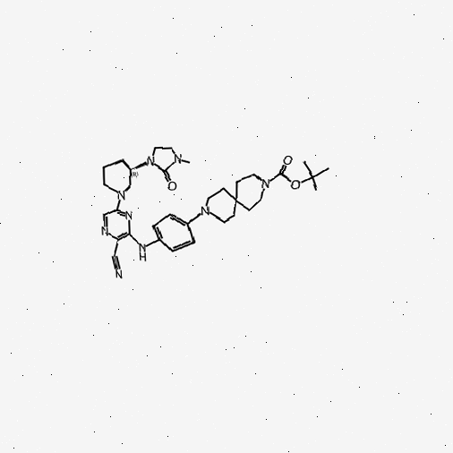 CN1CCN([C@@H]2CCCN(c3cnc(C#N)c(Nc4ccc(N5CCC6(CCN(C(=O)OC(C)(C)C)CC6)CC5)cc4)n3)C2)C1=O